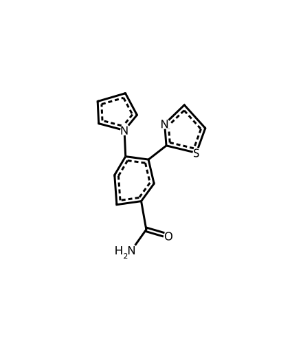 NC(=O)c1ccc(-n2cccc2)c(-c2nccs2)c1